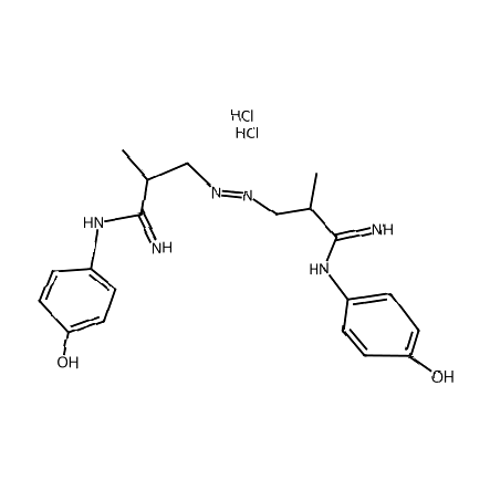 CC(CN=NCC(C)C(=N)Nc1ccc(O)cc1)C(=N)Nc1ccc(O)cc1.Cl.Cl